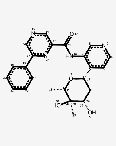 C[C@@H]1O[C@H](c2ccncc2NC(=O)c2cncc(-c3ccccc3)n2)C[C@H](O)[C@@]1(C)O